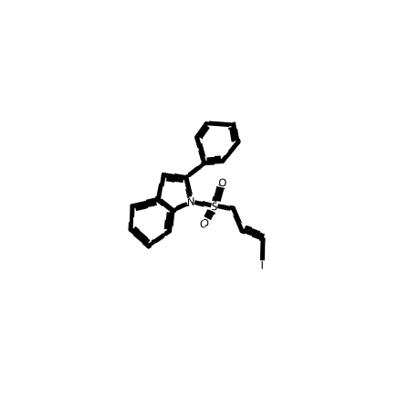 O=S(=O)(CC=CI)n1c(-c2ccccc2)cc2ccccc21